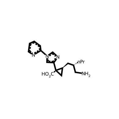 CCC[C@H](CN)C[C@H]1C[C@]1(C(=O)O)c1cn(-c2ccccn2)cn1